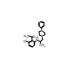 CC(CN1CCN(c2ccccc2)CC1)Nc1cccc(Cl)c1C(N)=O